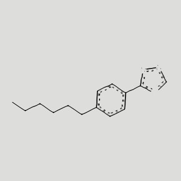 CCCCCCc1ccc(-c2nn[c]o2)cc1